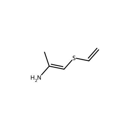 C=CS/C=C(\C)N